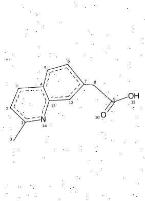 Cc1ccc2ccc(CC(=O)O)cc2n1